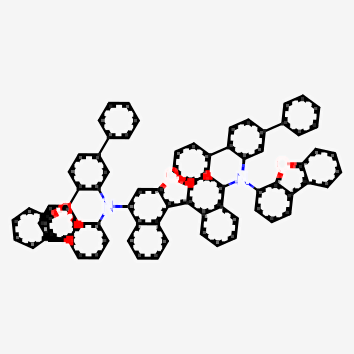 c1ccc(-c2ccc(-c3ccccc3)c(N(c3cc4oc5cc(N(c6cc(-c7ccccc7)ccc6-c6ccccc6)c6cccc7c6oc6ccccc67)c6ccccc6c5c4c4ccccc34)c3cccc4c3oc3ccccc34)c2)cc1